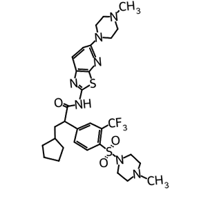 CN1CCN(c2ccc3nc(NC(=O)C(CC4CCCC4)c4ccc(S(=O)(=O)N5CCN(C)CC5)c(C(F)(F)F)c4)sc3n2)CC1